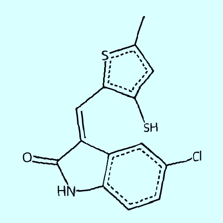 Cc1cc(S)c(C=C2C(=O)Nc3ccc(Cl)cc32)s1